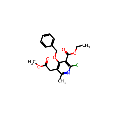 CCOC(=O)c1c(Cl)nc(C)c(CC(=O)OC)c1OCc1ccccc1